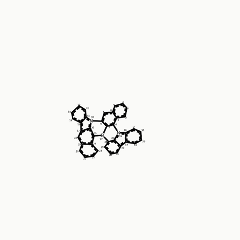 c1ccc2c3c4c(cc2c1)-n1c2ccccc2c2cc5ccccc5c(c21)B4c1cccc2c4ccccc4n-3c12